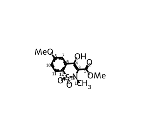 COC(=O)C1=C(O)c2cc(OC)ccc2S(=O)(=O)N1C